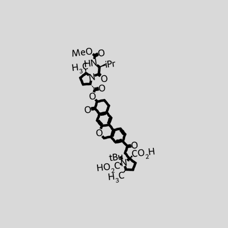 COC(=O)N[C@H](C(=O)N1[C@@H](C)CC[C@H]1C(=O)OC1CCc2cc3c(cc2C1=O)OCc1cc(C(=O)C[C@]2(C(=O)O)CC[C@H](C)[N+]2(C(=O)O)C(C)(C)C)ccc1-3)C(C)C